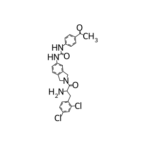 CC(=O)c1ccc(NC(=O)Nc2ccc3c(c2)CN(C(=O)C(N)Cc2ccc(Cl)cc2Cl)C3)cc1